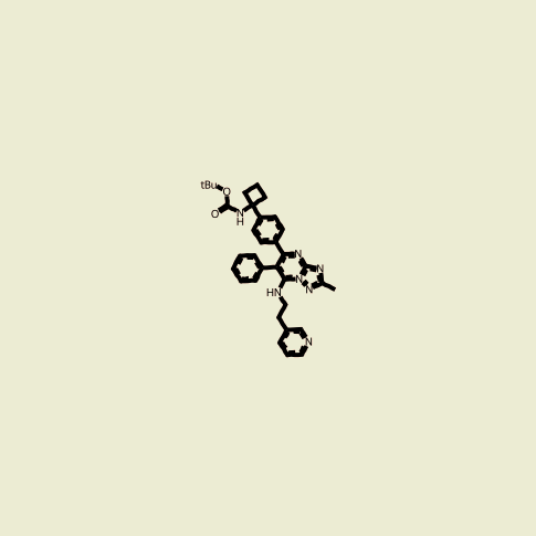 Cc1nc2nc(-c3ccc(C4(NC(=O)OC(C)(C)C)CCC4)cc3)c(-c3ccccc3)c(NCCc3cccnc3)n2n1